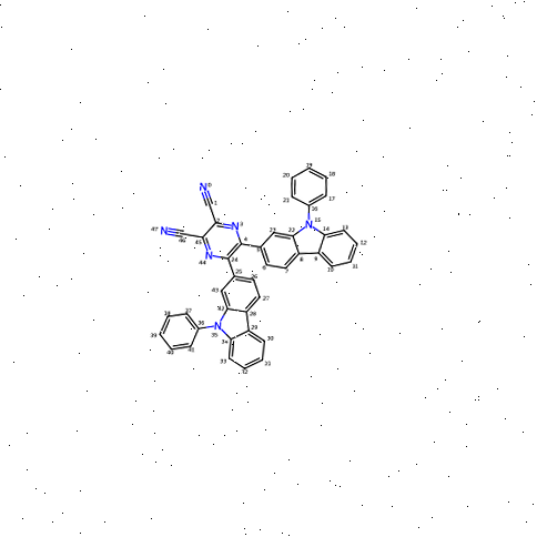 N#Cc1nc(-c2ccc3c4ccccc4n(-c4ccccc4)c3c2)c(-c2ccc3c4ccccc4n(-c4ccccc4)c3c2)nc1C#N